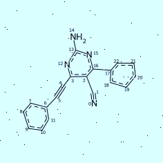 N#Cc1c(C#Cc2ccccc2)nc(N)nc1-c1ccccc1